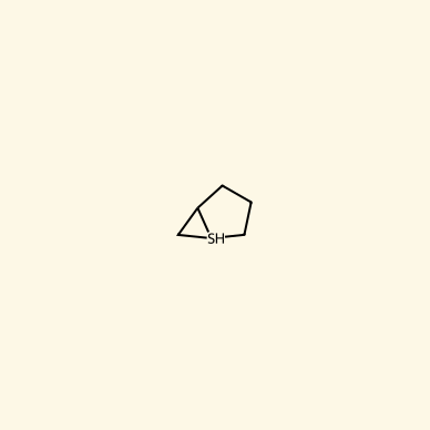 C1CC2C[SH]2C1